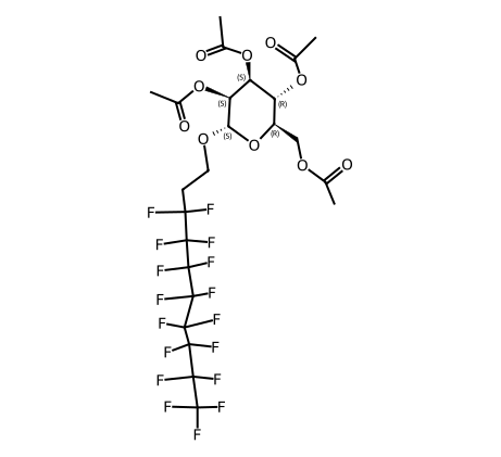 CC(=O)OC[C@H]1O[C@H](OCCC(F)(F)C(F)(F)C(F)(F)C(F)(F)C(F)(F)C(F)(F)C(F)(F)C(F)(F)F)[C@@H](OC(C)=O)[C@@H](OC(C)=O)[C@@H]1OC(C)=O